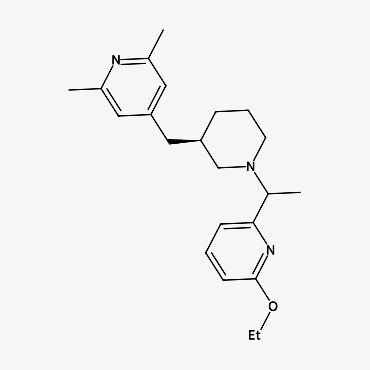 CCOc1cccc(C(C)N2CCC[C@H](Cc3cc(C)nc(C)c3)C2)n1